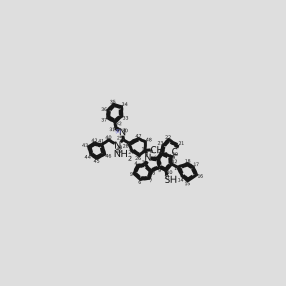 CC1(n2c3ccccc3c3c(S)c(-c4ccccc4)c4ccccc4c32)C=CC(C(/N=C/c2ccccc2)N(N)Cc2ccccc2)=CC1